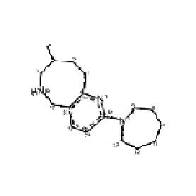 CC1CCc2nc(N3CCCCCC3)ccc2CNC1